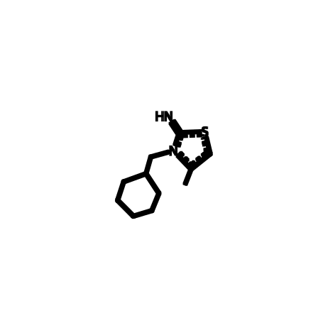 Cc1csc(=N)n1CC1CCCCC1